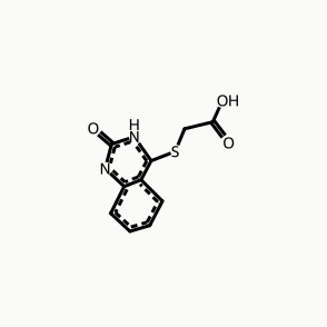 O=C(O)CSc1[nH]c(=O)nc2ccccc12